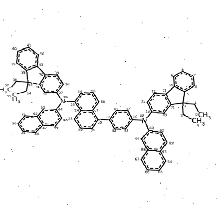 CCC1(CC)c2ccccc2-c2ccc(N(c3ccc(-c4cccc5c(N(c6ccc7c(c6)C(CC)(CC)c6ccccc6-7)c6ccc7ccccc7c6)cccc45)cc3)c3ccc4ccccc4c3)cc21